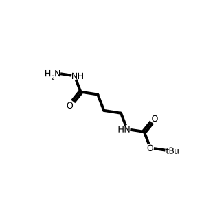 CC(C)(C)OC(=O)NCCCC(=O)NN